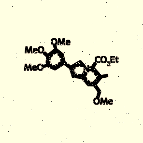 CCOC(=O)c1c(C)c(COC)cc2cc(-c3cc(OC)c(OC)c(OC)c3)cn12